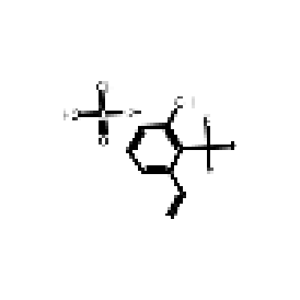 C=Cc1cccc(O)c1C(F)(F)F.O=P(O)(O)O